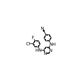 N#Cc1ccc(Nc2cc(Nc3ccc(F)c(Cl)c3)ncn2)cc1